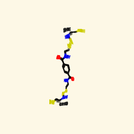 O=C[C@H](CS)NSSCCNC(=O)c1ccc(C(=O)NCCSSN[C@H](C=O)CS)cc1